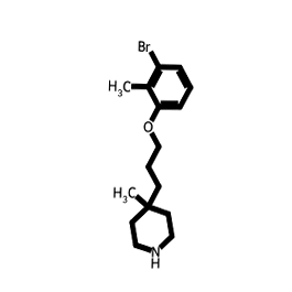 Cc1c(Br)cccc1OCCCC1(C)CCNCC1